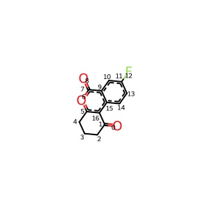 O=C1CCCc2oc(=O)c3cc(F)ccc3c21